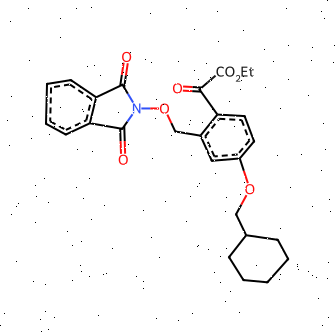 CCOC(=O)C(=O)c1ccc(OCC2CCCCC2)cc1CON1C(=O)c2ccccc2C1=O